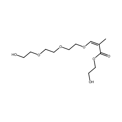 CC(=COCCOCCOCCO)C(=O)OCCO